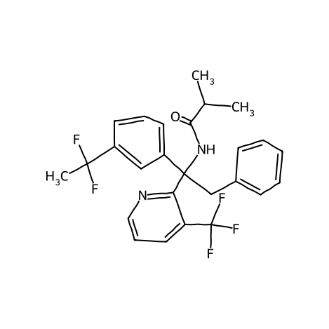 CC(C)C(=O)NC(Cc1ccccc1)(c1cccc(C(C)(F)F)c1)c1ncccc1C(F)(F)F